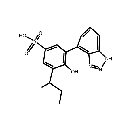 CCC(C)c1cc(S(=O)(=O)O)cc(-c2cccc3[nH]nnc23)c1O